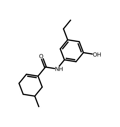 CCc1cc(O)cc(NC(=O)C2=CCCC(C)C2)c1